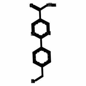 CCCCCCC(=O)c1cnc(-c2ccc(CBr)cc2)nc1